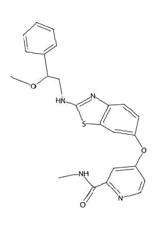 CNC(=O)c1cc(Oc2ccc3nc(NCC(OC)c4ccccc4)sc3c2)ccn1